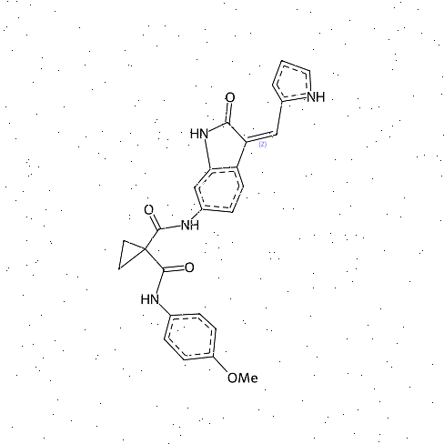 COc1ccc(NC(=O)C2(C(=O)Nc3ccc4c(c3)NC(=O)/C4=C\c3ccc[nH]3)CC2)cc1